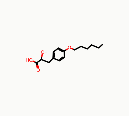 CCCCCCOc1ccc(CC(O)C(=O)O)cc1